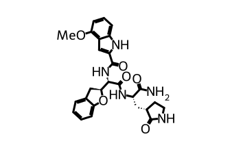 COc1cccc2[nH]c(C(=O)N[C@H](C(=O)N[C@@H](C[C@@H]3CCNC3=O)C(N)=O)[C@@H]3Cc4ccccc4O3)cc12